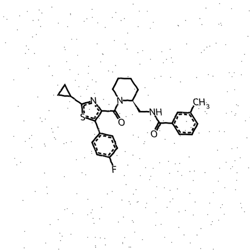 Cc1cccc(C(=O)NC[C@@H]2CCCCN2C(=O)c2nc(C3CC3)sc2-c2ccc(F)cc2)c1